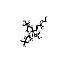 CCOC(=O)C=C[C@]1(O[SiH](C)C)C[C@H](C(C)(C)C)CN1C(=O)OC(C)(C)C